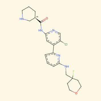 O=C(Nc1cc(-c2cccc(NCC3(F)CCOCC3)n2)c(Cl)cn1)[C@@H]1CCCNC1